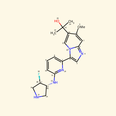 COc1cc2ncc(-c3cccc(N[C@@H]4CNC[C@H]4F)n3)n2cc1C(C)(C)O